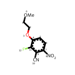 COCCOc1ccc([N+](=O)[O-])c(C#N)c1F